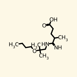 CCCCOC(C)(C)CNC(=N)C(C)CCC(=O)O